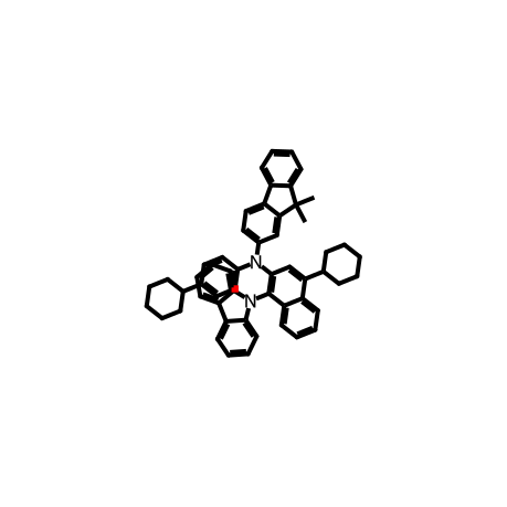 CC1(C)c2ccccc2-c2ccc(N(c3ccc(C4CCCCC4)cc3)c3cc(C4CCCCC4)c4ccccc4c3-n3c4ccccc4c4ccccc43)cc21